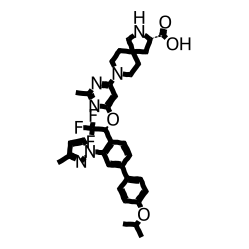 Cc1ccn(-c2cc(-c3ccc(OC(C)C)cc3)ccc2[C@@H](Oc2cc(N3CCC4(CC3)CN[C@H](C(=O)O)C4)nc(C)n2)C(F)(F)F)n1